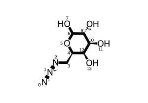 [N-]=[N+]=NC[C@H]1OC(O)[C@H](O)[C@@H](O)[C@H]1O